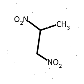 CC(C[N+](=O)[O-])[N+](=O)[O-]